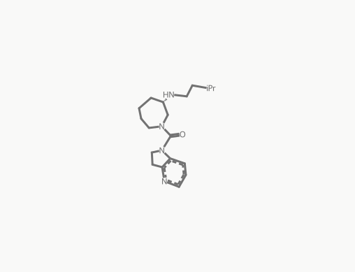 CC(C)CCN[C@H]1CCCCN(C(=O)N2CCc3ncccc32)C1